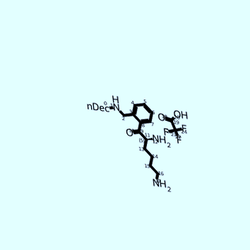 CCCCCCCCCCNCc1ccccc1C(=O)[C@@H](N)CCCCN.O=C(O)C(F)(F)F